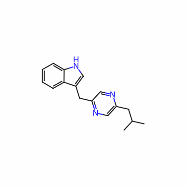 CC(C)Cc1cnc(Cc2c[nH]c3ccccc23)cn1